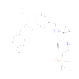 CCS(=O)(=O)c1ccc(C2(NC(=O)c3cnc4c(c3)CN(Cc3ccc(C(F)(F)F)cc3)C4C(C)C)CC2)nc1